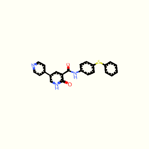 O=C(Nc1ccc(Sc2ccccc2)cc1)c1cc(-c2ccncc2)c[nH]c1=O